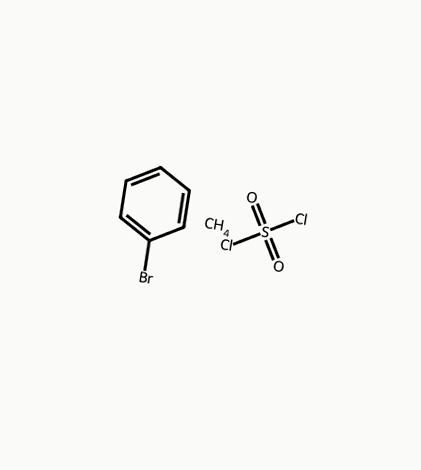 Brc1ccccc1.C.O=S(=O)(Cl)Cl